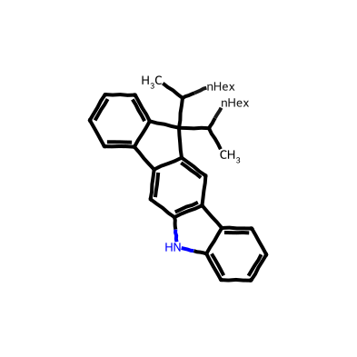 CCCCCCC(C)C1(C(C)CCCCCC)c2ccccc2-c2cc3[nH]c4ccccc4c3cc21